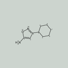 Nc1cc(C2CCCCC2)no1